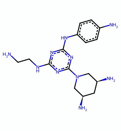 NCCNc1nc(Nc2ccc(N)cc2)nc(N2C[C@H](N)C[C@H](N)C2)n1